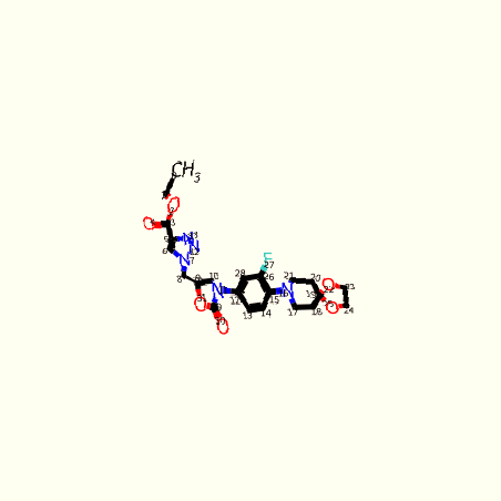 CCOC(=O)c1cn(C[C@H]2CN(c3ccc(N4CCC5(CC4)OCCO5)c(F)c3)C(=O)O2)nn1